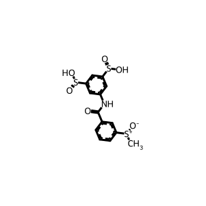 C[S+]([O-])c1cccc(C(=O)Nc2cc(S(=O)O)cc(S(=O)O)c2)c1